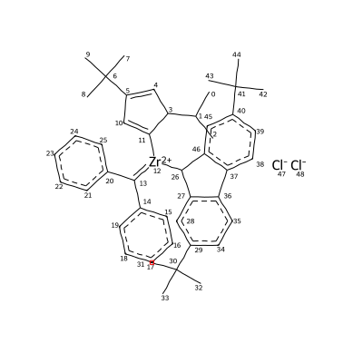 CC(C)C1C=C(C(C)(C)C)C=[C]1[Zr+2](=[C](c1ccccc1)c1ccccc1)[CH]1c2cc(C(C)(C)C)ccc2-c2ccc(C(C)(C)C)cc21.[Cl-].[Cl-]